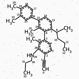 C#Cc1ccc(-c2c(C(C)CCC)ccc(-c3ccc(C)c(C)c3)c2C)c(C)c1NCCC